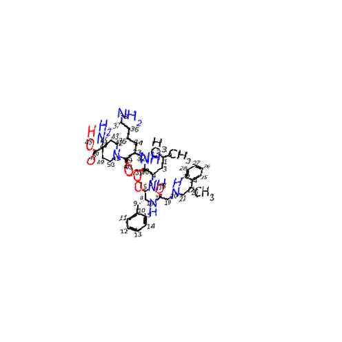 CC(C)C[C@@H](NC(=O)[C@@H](Cc1ccccc1)NC(=O)CNC[C@H](C)c1ccccc1)C(=O)N[C@H](CCCCN)C(=O)N1CCC(N)(C(=O)O)CC1